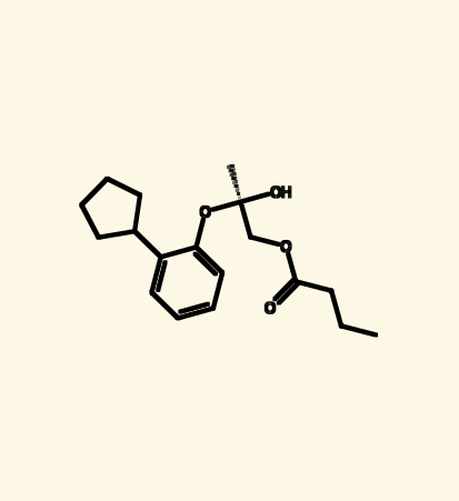 CCCC(=O)OC[C@](C)(O)Oc1ccccc1C1CCCC1